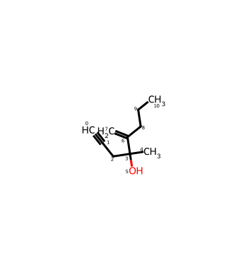 C#CCC(C)(O)C(=C)CCC